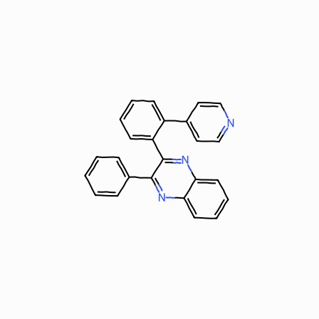 c1ccc(-c2nc3ccccc3nc2-c2ccccc2-c2ccncc2)cc1